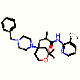 CC(CC1(N2CCN(Cc3ccccc3)CC2)CCOC(C)(C)C1)C(=O)Nc1ncccc1C(F)(F)F